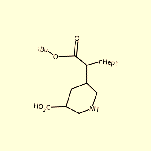 CCCCCCCC(C(=O)OC(C)(C)C)C1CNCC(C(=O)O)C1